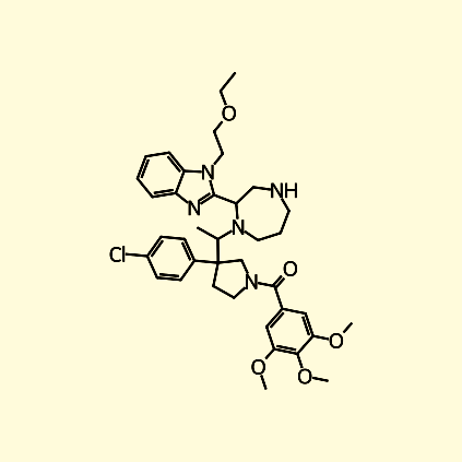 CCOCCn1c(C2CNCCCN2C(C)C2(c3ccc(Cl)cc3)CCN(C(=O)c3cc(OC)c(OC)c(OC)c3)C2)nc2ccccc21